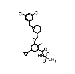 CS(=O)(=O)NC(=O)c1cc(C2CC2)cc(OC[C@H]2CCCN(Cc3cc(Cl)cc(Cl)c3)C2)c1F